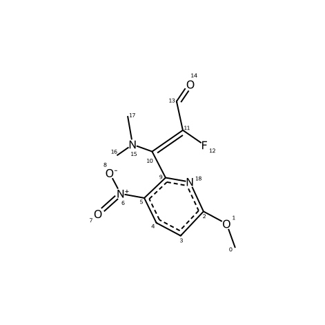 COc1ccc([N+](=O)[O-])c(C(=C(F)C=O)N(C)C)n1